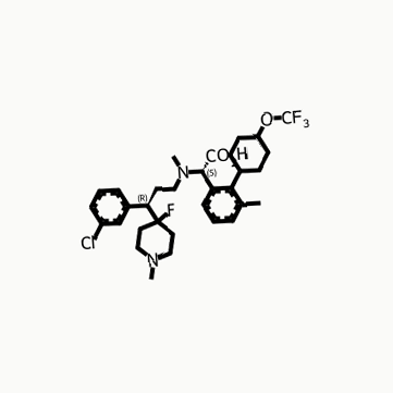 Cc1cccc([C@@H](C(=O)O)N(C)CC[C@H](c2cccc(Cl)c2)C2(F)CCN(C)CC2)c1C1CCC(OC(F)(F)F)CC1